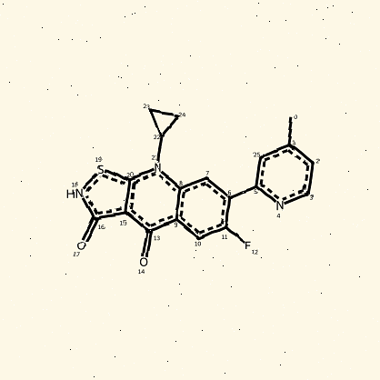 Cc1ccnc(-c2cc3c(cc2F)c(=O)c2c(=O)[nH]sc2n3C2CC2)c1